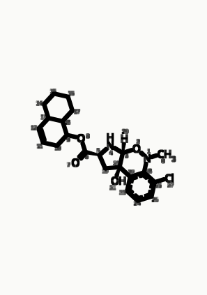 CN1O[C@H]2N[C@H](C(=O)OC3CC=CC4CCCCC43)C[C@@]2(O)c2cccc(Cl)c21